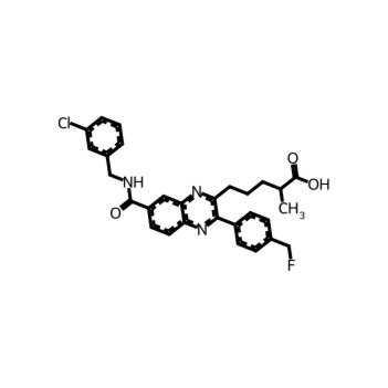 CC(CCCc1nc2cc(C(=O)NCc3cccc(Cl)c3)ccc2nc1-c1ccc(CF)cc1)C(=O)O